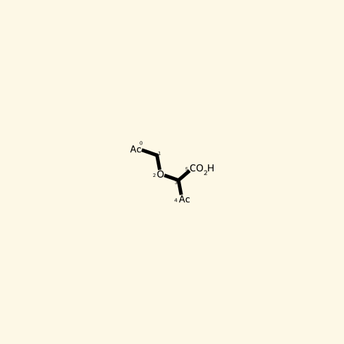 CC(=O)COC(C(C)=O)C(=O)O